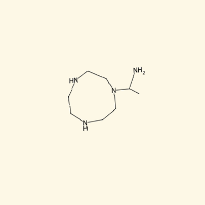 CC(N)N1CCNCCNCC1